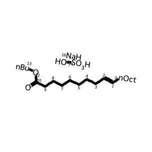 CCCCCCCCC=CCCCCCCCC(=O)OCCCC.O=S(=O)(O)O.[NaH]